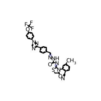 Cc1ccc(C#N)c(N2C(=O)CS/C2=N\C(=O)N/N=C/c2ccc(-c3ncn(-c4ccc(OC(F)(F)F)cc4)n3)cc2)c1